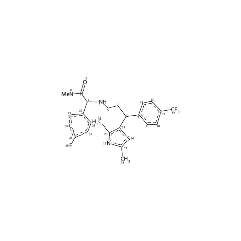 CNC(=O)C(NCCC(c1ccc(C(F)(F)F)cc1)c1sc(C)nc1C)c1ccc(F)cc1